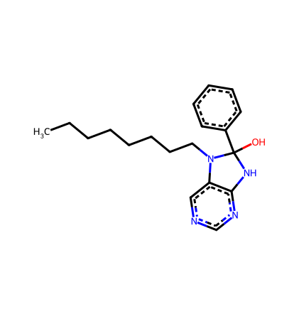 CCCCCCCCN1c2cncnc2NC1(O)c1ccccc1